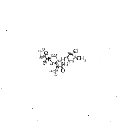 Cc1cc(CNC(=O)N(C2CC2)[C@@H]2CCCN(C(=O)[C@H]3CCCO3)C2)ccc1Cl